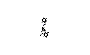 CC(CNOC/C=C/c1ccccc1)c1ccccc1